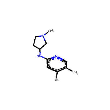 CCc1cc(NC2CCN(C)C2)ncc1C